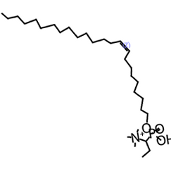 CCCCCCCCCCCCCC/C=C\CCCCCCCCOP(=O)(O)C(CC)[N+](C)(C)C